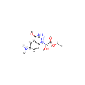 CCOC(=O)C(O)Nc1ccc(N(C)C)cc1C(N)=O